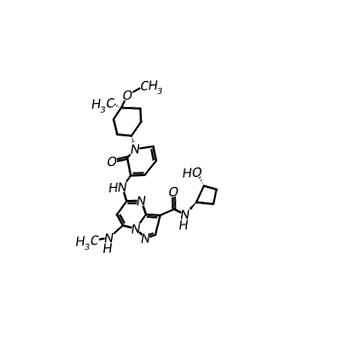 CNc1cc(Nc2cccn([C@H]3CC[C@](C)(OC)CC3)c2=O)nc2c(C(=O)N[C@@H]3CC[C@H]3O)cnn12